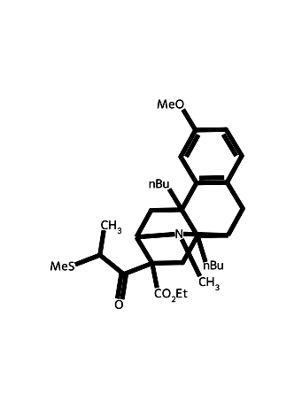 CCCCC12CC3N(C)C(Cc4ccc(OC)cc41)C2(CCCC)CC3(C(=O)OCC)C(=O)C(C)SC